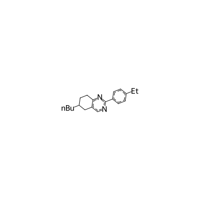 CCCCC1CCc2nc(-c3ccc(CC)cc3)ncc2C1